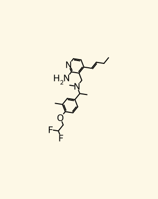 CCC=Cc1ccnc(N)c1CN(C)C(C)c1ccc(OCC(F)F)c(C)c1